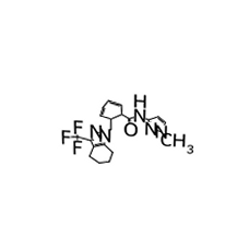 Cn1ccc(NC(=O)C2C=CC=CC2Cn2nc(C(F)(F)F)c3c2CCCC3)n1